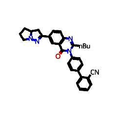 CCCCc1nc2ccc(C3=NN4CCCC4C3)cc2c(=O)n1-c1ccc(-c2ccccc2C#N)cc1